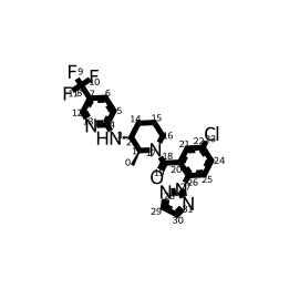 C[C@H]1[C@H](Nc2ccc(C(F)(F)F)cn2)CCCN1C(=O)c1cc(Cl)ccc1-n1nccn1